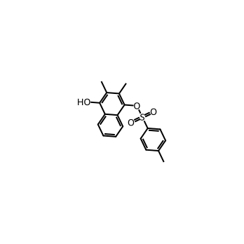 Cc1ccc(S(=O)(=O)Oc2c(C)c(C)c(O)c3ccccc23)cc1